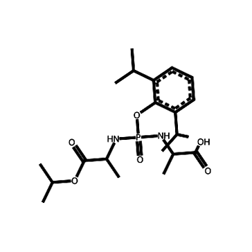 CC(C)OC(=O)C(C)NP(=O)(NC(C)C(=O)O)Oc1c(C(C)C)cccc1C(C)C